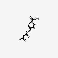 CC(=O)CC(=O)OCC1CCN(C(=O)O)CC1